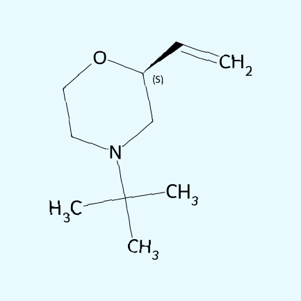 C=C[C@H]1CN(C(C)(C)C)CCO1